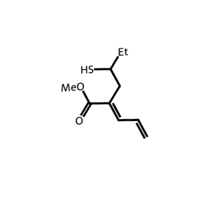 C=C/C=C(\CC(S)CC)C(=O)OC